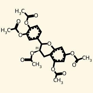 CC(=O)Oc1cc(OC(C)=O)c2c(c1)OC(c1ccc(OC(C)=O)c(OC(C)=O)c1)[C@H](OC(C)=O)C2